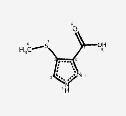 CSc1c[nH]nc1C(=O)O